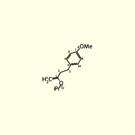 C=C(CCc1ccc(OC)cc1)OC(C)C